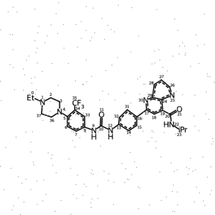 CCN1CCN(c2ccc(NC(=O)Nc3ccc(-c4cc(C(=O)NC(C)C)c5ncccc5n4)cc3)cc2C(F)(F)F)CC1